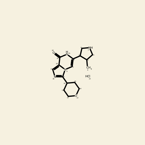 CC1CNCC1c1cn2c(C3CCOCC3)ncc2c(=O)[nH]1.Cl